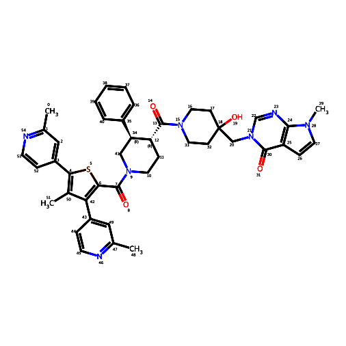 Cc1cc(-c2sc(C(=O)N3CC[C@@H](C(=O)N4CCC(O)(Cn5cnc6c(ccn6C)c5=O)CC4)[C@H](c4ccccc4)C3)c(-c3ccnc(C)c3)c2C)ccn1